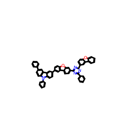 c1ccc(-c2ccc3c(c2)c2cc(-c4ccc5oc6cc(-c7nc(-c8ccccc8)nc(-c8ccc9oc%10ccccc%10c9c8)n7)ccc6c5c4)ccc2n3-c2ccccc2)cc1